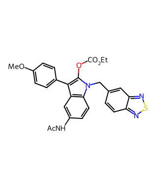 CCOC(=O)Oc1c(-c2ccc(OC)cc2)c2cc(NC(C)=O)ccc2n1Cc1ccc2nsnc2c1